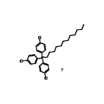 CCCCCCCCCCCC[P+](c1ccc(Cl)cc1)(c1ccc(Cl)cc1)c1ccc(Cl)cc1.[I-]